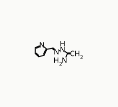 C=C(N)N/N=C/c1ccccn1